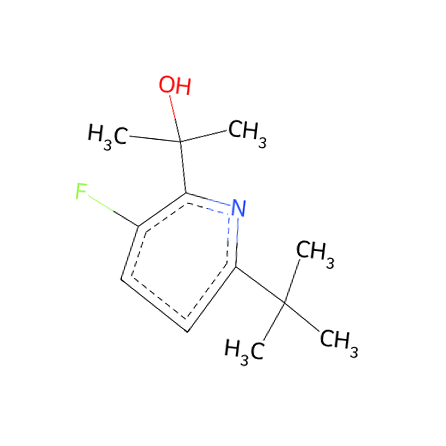 CC(C)(C)c1ccc(F)c(C(C)(C)O)n1